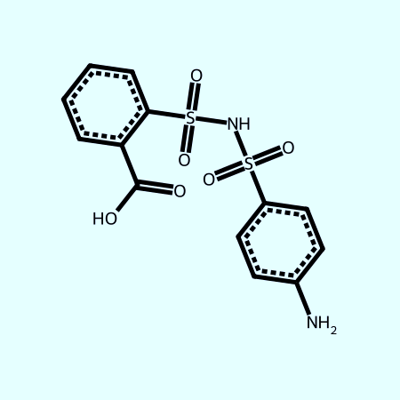 Nc1ccc(S(=O)(=O)NS(=O)(=O)c2ccccc2C(=O)O)cc1